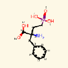 NC(CCP(=O)(O)O)(Cc1ccccc1)C(=O)O